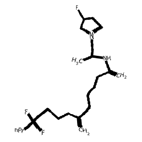 C=C(CCCCC(=C)NC(C)N1CCC(F)C1)CCCC(F)(F)CCC